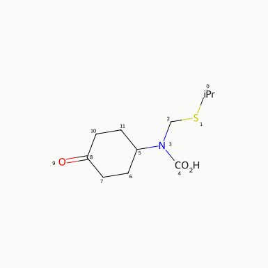 CC(C)SCN(C(=O)O)C1CCC(=O)CC1